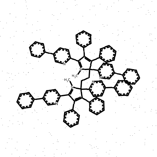 C[Si]1=C(c2ccc(-c3ccccc3)cn2)C(c2ccccc2)=C(c2ccccc2)C1(CCC1(c2ccc(-c3ccccc3)cn2)C(c2ccccc2)=C(c2ccccc2)C(c2ccc(-c3ccccc3)cn2)=[Si]1C)c1ccc(-c2ccccc2)cn1